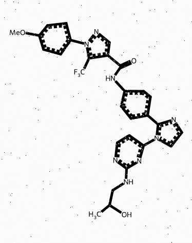 COc1ccc(-n2ncc(C(=O)Nc3ccc(-c4nccn4-c4ccnc(NCC(C)O)n4)cc3)c2C(F)(F)F)cc1